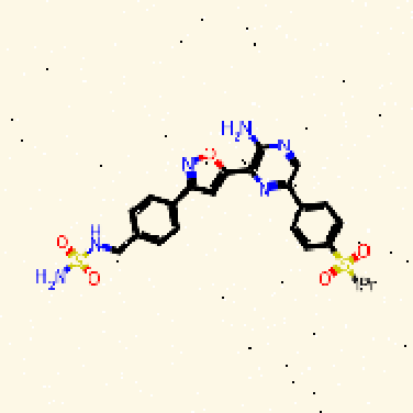 CC(C)S(=O)(=O)c1ccc(-c2cnc(N)c(-c3cc(-c4ccc(CNS(N)(=O)=O)cc4)no3)n2)cc1